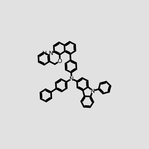 Nc1ccc2cccc(-c3ccc(N(c4ccc(-c5ccccc5)cc4)c4ccc5c(c4)c4ccccc4n5-c4ccccc4)cc3)c2c1OCc1ccccc1